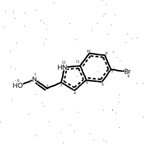 ON=Cc1cc2cc(Br)ccc2[nH]1